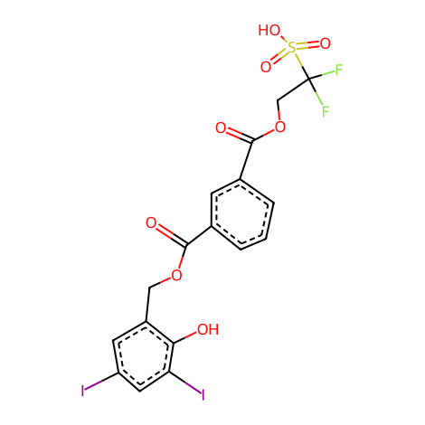 O=C(OCc1cc(I)cc(I)c1O)c1cccc(C(=O)OCC(F)(F)S(=O)(=O)O)c1